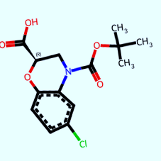 CC(C)(C)OC(=O)N1C[C@H](C(=O)O)Oc2ccc(Cl)cc21